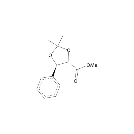 COC(=O)[C@H]1OC(C)(C)O[C@@H]1c1ccccc1